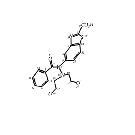 O=C(O)c1nc2cc(N(C(=O)c3ccccc3)N(CCCl)CCCl)ccc2s1